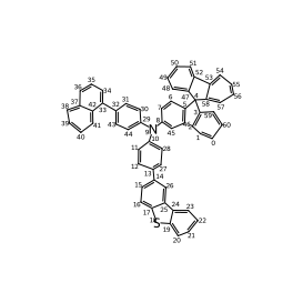 c1ccc(C2(c3ccc(N(c4ccc(-c5ccc6sc7ccccc7c6c5)cc4)c4ccc(-c5cccc6ccccc56)cc4)cc3)c3ccccc3-c3ccccc32)cc1